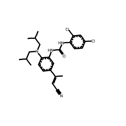 C/C(=C\C#N)c1ccc(N(CC(C)C)CC(C)C)c(NC(=O)Nc2ccc(Cl)cc2Cl)c1